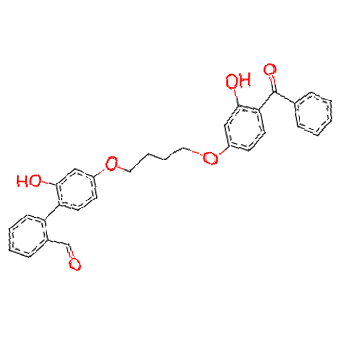 O=Cc1ccccc1-c1ccc(OCCCCOc2ccc(C(=O)c3ccccc3)c(O)c2)cc1O